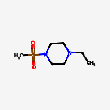 C[CH]N1CCN(S(C)(=O)=O)CC1